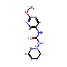 COc1ccc(NC(=O)NN2CC=CCC2)cn1